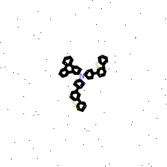 c1ccc2c(c1)sc1ccc(-c3ccc(N(c4ccc(-c5cccc6c5sc5ccccc56)cc4)c4ccc5c6ccccc6c6ccccc6c5c4)cc3)cc12